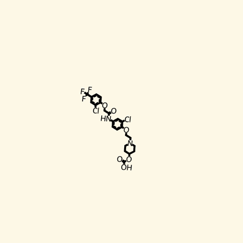 O=C(COc1ccc(C(F)(F)F)cc1Cl)Nc1ccc(OCCN2CCC(OC(=O)O)CC2)c(Cl)c1